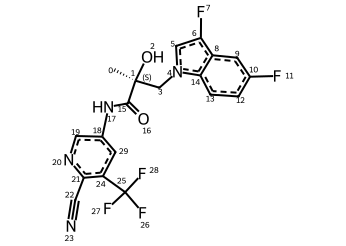 C[C@](O)(Cn1cc(F)c2cc(F)ccc21)C(=O)Nc1cnc(C#N)c(C(F)(F)F)c1